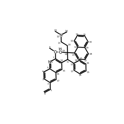 C=Cc1ccc2nc(OC)c(C(c3ccccc3)C(O)(CCN(C)C)c3cccc4ccccc34)cc2c1